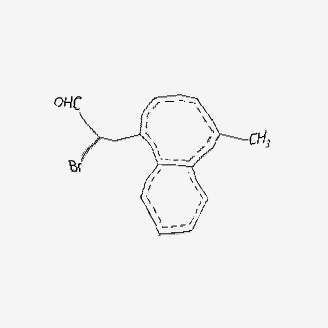 Cc1ccc(C(Br)C=O)c2ccccc12